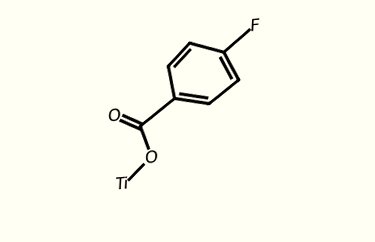 O=C([O][Ti])c1ccc(F)cc1